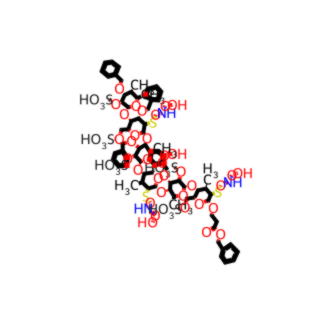 CC1O[C@@H](O[C@@H]2C(COS(=O)(=O)O)O[C@H](O[C@H]3C(OCc4ccccc4)C(OS(=O)(=O)O)[C@H](O[C@H]4C(C)C(SONOO)[C@@H](O[C@@H]5C(C)O[C@@H](O[C@@H]6C(COS(=O)(=O)O)O[C@@H](OCCC(=O)OCc7ccccc7)C(SONOO)[C@H]6C)C(OS(=O)(=O)O)[C@@H]5OCc5ccccc5)O[C@H]4COOO)O[C@H]3C)C(SONOO)[C@H]2OCc2ccccc2)C(OS(=O)(=O)O)[C@H](OCc2ccccc2)[C@@H]1C